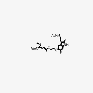 C=N/C(=C\C=C(/C)OCCOc1cc2c(CCNC(C)=O)c(C)[nH]c2cc1F)OC